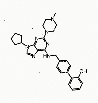 CN1CCN(c2nc(NCc3ccc(-c4ccccc4O)cc3)c3ncn(C4CCCC4)c3n2)CC1